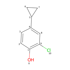 Oc1ccc(C2CC2)cc1Cl